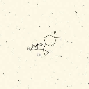 CC(C)(C)C1(C2(O)CCC(F)(F)CC2)CC1